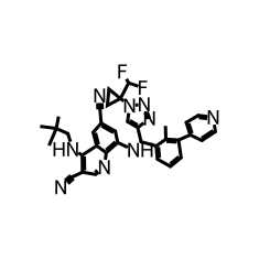 Cc1c(-c2ccncc2)cccc1[C@H](Nc1cc(C#N)cc2c(NCC(C)(C)C)c(C#N)cnc12)c1cn(C2(C(F)F)CC2)nn1